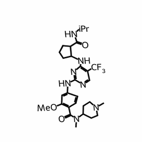 COc1cc(Nc2ncc(C(F)(F)F)c(NC3CCCC3C(=O)NC(C)C)n2)ccc1C(=O)N(C)C1CCN(C)CC1